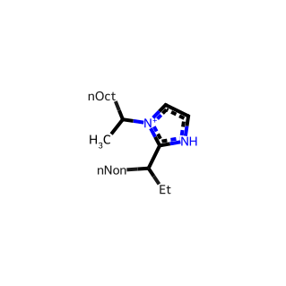 CCCCCCCCCC(CC)c1[nH]cc[n+]1C(C)CCCCCCCC